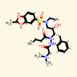 CC(C)CN(C[C@@H](O)[C@H](Cc1ccccc1)N(NC(=O)CN(C)C)C(=O)CCC#N)S(=O)(=O)c1ccc2c(c1)OC(C)O2